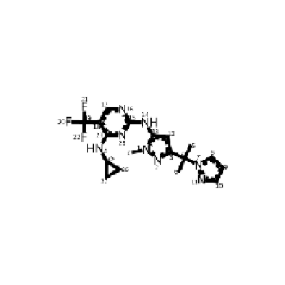 Cn1nc(C(C)(C)n2cccn2)cc1Nc1ncc(C(F)(F)F)c(NC2CC2)n1